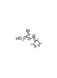 CCSC(OC(=O)c1ccccc1)C(=O)O